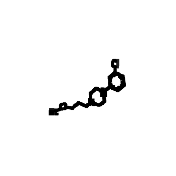 CCOCCCN1CCN(c2cccc(Cl)c2)CC1